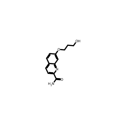 NC(=O)c1ccc2c[c]c(OCCCO)cc2n1